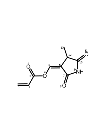 C=CC(=O)OC=C1C(=O)NC(=O)C1C